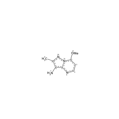 COc1ccnc2c(N)c(C)nn12